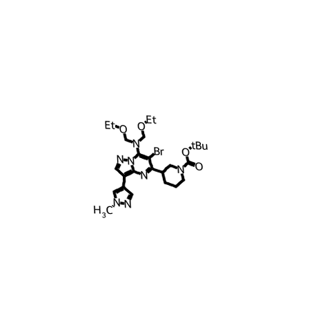 CCOCN(COCC)c1c(Br)c(C2CCCN(C(=O)OC(C)(C)C)C2)nc2c(-c3cnn(C)c3)cnn12